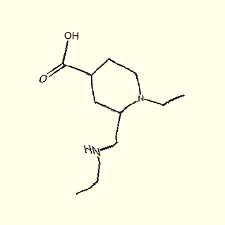 CCNCC1CC(C(=O)O)CCN1CC